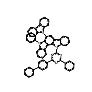 c1ccc(-c2ccc(-c3nc(-c4ccccc4)nc(-n4c5ccccc5c5cc(-n6c7ccccc7c7ccccc76)c6c(c7ccccc7n6-c6ccccc6)c54)n3)cc2)cc1